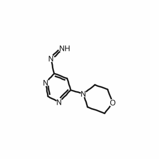 N=Nc1cc(N2CCOCC2)ncn1